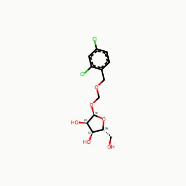 OC[C@H]1O[C@H](OCOCc2ccc(Cl)cc2Cl)[C@H](O)[C@@H]1O